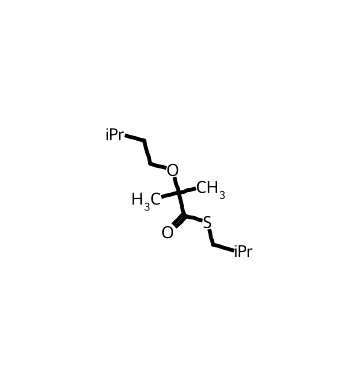 CC(C)CCOC(C)(C)C(=O)SCC(C)C